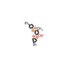 Cc1cc(O)c(S(=O)(=O)c2ccc(C(C)C)cc2)cc1S(=O)(=O)c1ccc(C(C)C)cc1